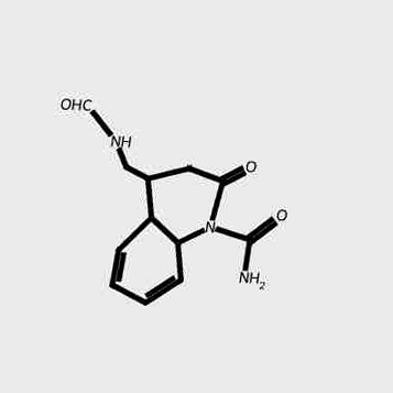 NC(=O)N1C(=O)[C]C(CNC=O)C2C=CC=CC21